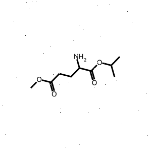 COC(=O)CCC(N)C(=O)OC(C)C